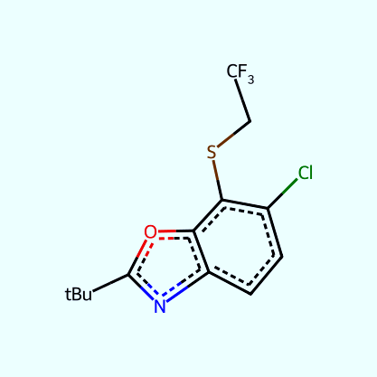 CC(C)(C)c1nc2ccc(Cl)c(SCC(F)(F)F)c2o1